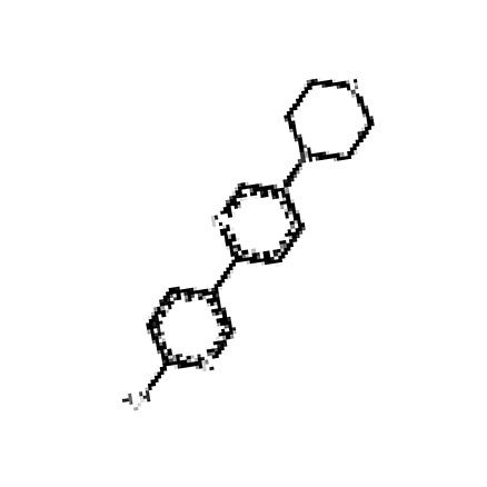 Nc1ccc(-c2ccc(N3CCOCC3)cn2)cn1